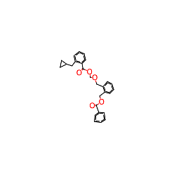 O=C(OCc1ccccc1COCOC(=O)c1ccccc1CC1CC1)c1ccccc1